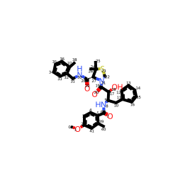 COc1ccc(C(=O)NC(Cc2ccccc2)C(O)C(=O)N2CSC(C)(C)[C@H]2C(=O)NCc2ccccc2C)c(C)c1